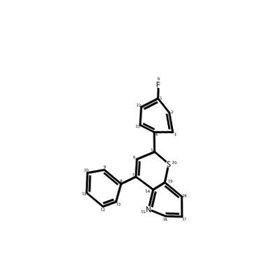 Fc1ccc(C2C=C(c3ccccc3)c3ncccc3S2)cc1